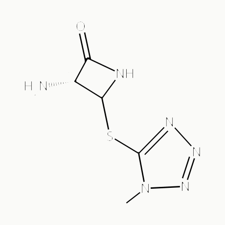 Cn1nnnc1SC1NC(=O)[C@H]1N